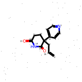 C=CCC1(c2ccncc2)CCC(=O)NC1=O